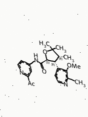 COc1c([C@@H]2[C@@H](C(=O)Nc3ccnc(C(C)=O)c3)OC(C)(C)[C@@H]2C)ccnc1C